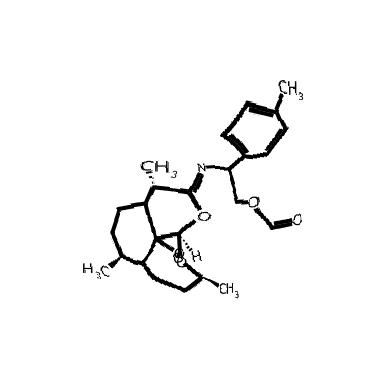 Cc1ccc(C(COC=O)/N=C2\O[C@H]3O[C@@]4(C)CCC5[C@@H](C)CCC([C@@H]2C)C53OO4)cc1